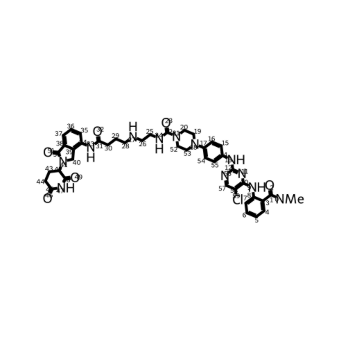 CNC(=O)c1ccccc1Nc1nc(Nc2ccc(N3CCN(C(=O)NCCNCCCC(=O)Nc4cccc5c4CN(C4CCC(=O)NC4=O)C5=O)CC3)cc2)ncc1Cl